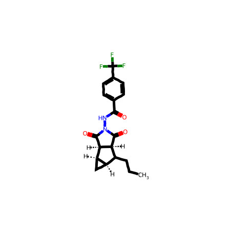 CCCC1[C@H]2C[C@H]2[C@H]2C(=O)N(NC(=O)c3ccc(C(F)(F)F)cc3)C(=O)[C@@H]12